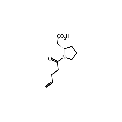 C=CCCC(=O)N1CCC[C@H]1CC(=O)O